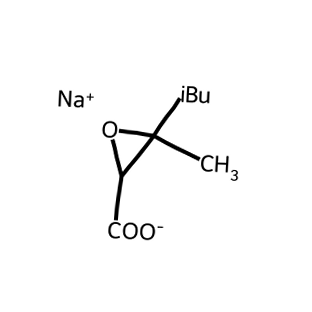 CCC(C)C1(C)OC1C(=O)[O-].[Na+]